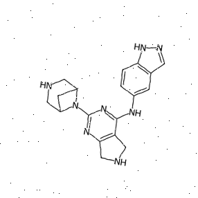 c1cc2[nH]ncc2cc1Nc1nc(N2C3CNCC2C3)nc2c1CNC2